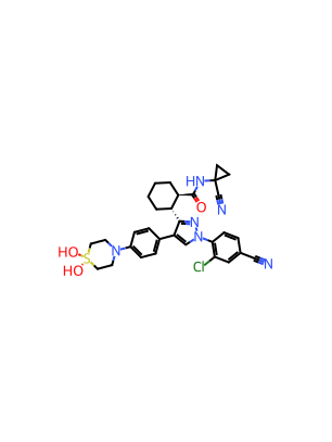 N#Cc1ccc(-n2cc(-c3ccc(N4CCS(O)(O)CC4)cc3)c([C@@H]3CCCC[C@H]3C(=O)NC3(C#N)CC3)n2)c(Cl)c1